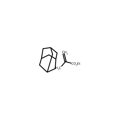 C1C2CC3CC1CC(C2)C3.C=C(C)C(=O)OCC